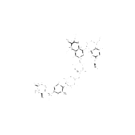 CCN1CCN(c2cc(C3CCN(CC4CCN(c5ccc(NC6CCC(=O)NC6=O)cc5F)CC4)CC3)cc3c2cc(C)c(=O)n3C)c2cc(C#N)ccc21